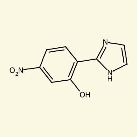 O=[N+]([O-])c1ccc(-c2ncc[nH]2)c(O)c1